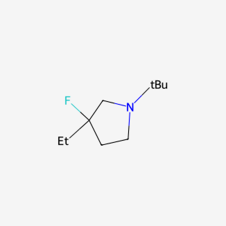 CCC1(F)CCN(C(C)(C)C)C1